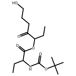 CCC(NC(=O)OC(C)(C)C)C(=O)OC(CC)C(=O)CCCO